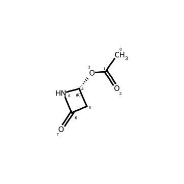 CC(=O)O[C@@H]1CC(=O)N1